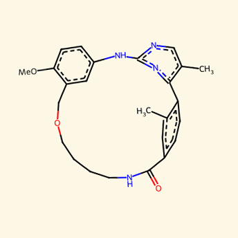 COc1ccc2cc1COCCCCNC(=O)c1ccc(c(C)c1)-c1nc(ncc1C)N2